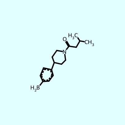 Bc1ccc(C2CCN(C(=O)CC(C)C)CC2)cc1